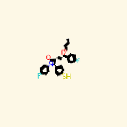 CCCCO[C@@H](CC[C@H]1C(=O)N(c2ccc(F)cc2)[C@@H]1c1ccc(S)cc1)c1ccc(F)cc1